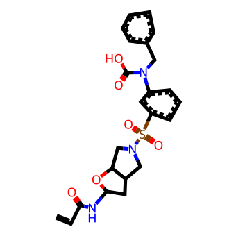 C=CC(=O)NC1CC2CN(S(=O)(=O)c3cccc(N(Cc4ccccc4)C(=O)O)c3)CC2O1